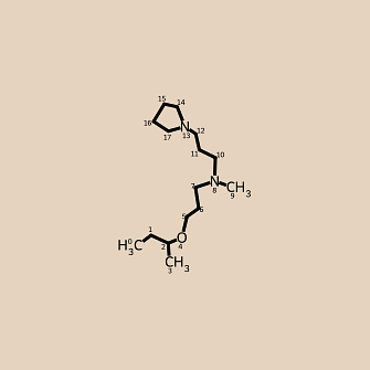 CCC(C)OCCCN(C)CCCN1CCCC1